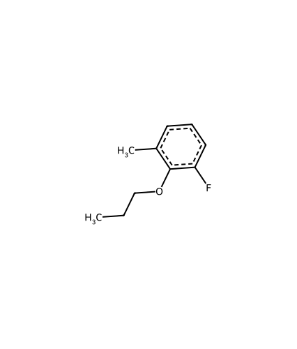 CCCOc1c(C)cccc1F